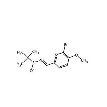 COc1ccc(C=N[S+]([O-])C(C)(C)C)nc1Br